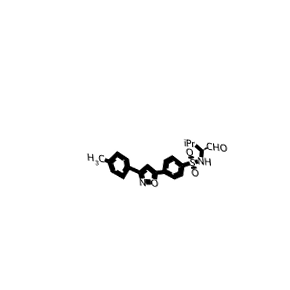 Cc1ccc(-c2cc(-c3ccc(S(=O)(=O)N[C@@H](C=O)C(C)C)cc3)on2)cc1